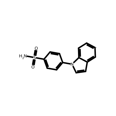 NS(=O)(=O)c1ccc(-n2ccc3c[c]ccc32)cc1